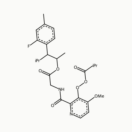 COc1ccnc(C(=O)NCC(=O)OC(C)C(c2ccc(C)cc2F)C(C)C)c1OOC(=O)C(C)C